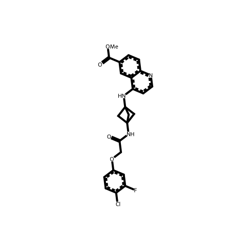 COC(=O)c1ccc2nccc(NC34CC(NC(=O)COc5ccc(Cl)c(F)c5)(C3)C4)c2c1